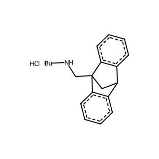 CCC(C)NCC12CC(c3ccccc31)c1ccccc12.Cl